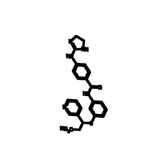 O=C(O)CC(Sc1cccc(NC(=O)c2ccc(NC3=NCCN3)cc2)c1)c1cccnc1